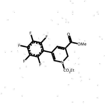 CCOC(=O)N1C=C(c2c(F)c(F)c(F)c(F)c2F)C=C(C(=O)OC)C1